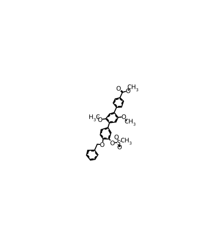 COC(=O)c1ccc(-c2cc(OC)c(-c3ccc(OCc4ccccc4)c(OS(C)(=O)=O)c3)cc2OC)cc1